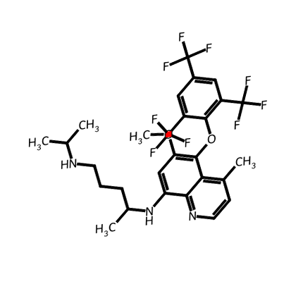 COc1cc(NC(C)CCCNC(C)C)c2nccc(C)c2c1Oc1c(C(F)(F)F)cc(C(F)(F)F)cc1C(F)(F)F